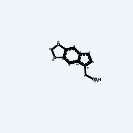 O=C(O)Cn1ccc2cc3c(cc21)OCO3